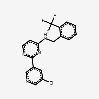 FC(F)(F)c1ccccc1CNc1ccnc(-c2cncc(Cl)c2)n1